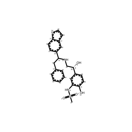 CS(=O)(=O)Nc1cc([C@@H](O)CNC(Cc2ccccc2)c2ccc3sccc3c2)ccc1O